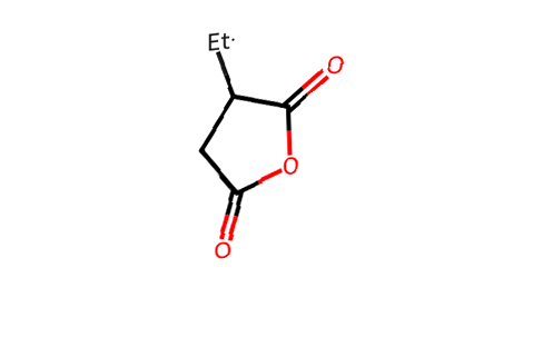 C[CH]C1CC(=O)OC1=O